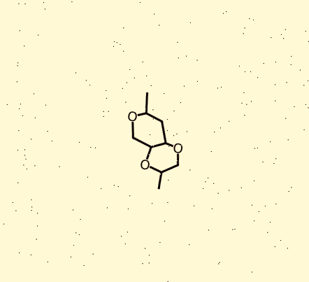 CC1CC2OCC(C)OC2CO1